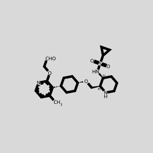 Cc1ccnc(OCC=O)c1[C@H]1CC[C@@H](OC[C@@H]2NCCC[C@@H]2NS(=O)(=O)C2CC2)CC1